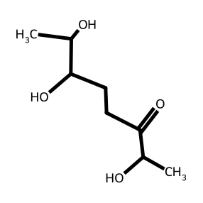 CC(O)C(=O)CCC(O)C(C)O